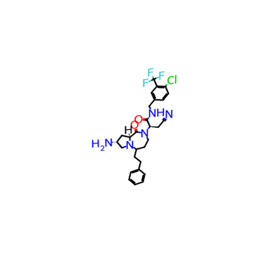 N#CC[C@H](C(=O)NCc1ccc(Cl)c(C(F)(F)F)c1)N1CCC(CCc2ccccc2)N2C[C@H](N)C[C@H]2C1=O